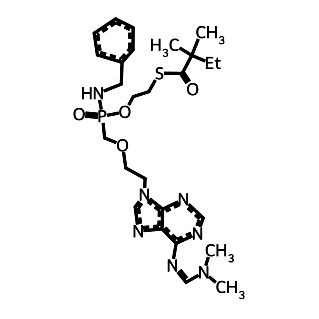 CCC(C)(C)C(=O)SCCOP(=O)(COCCn1cnc2c(/N=C\N(C)C)ncnc21)NCc1ccccc1